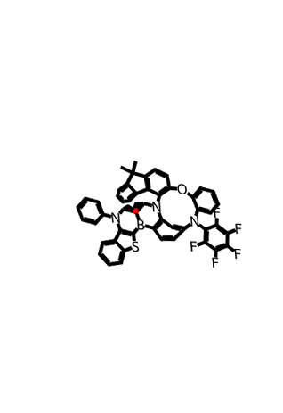 CC1(C)c2ccccc2-c2c1ccc1c2N2c3cc(ccc3B3c4sc5ccccc5c4N(c4ccccc4)c4cccc2c43)N(c2c(F)c(F)c(F)c(F)c2F)c2ccccc2O1